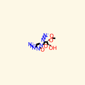 CC(=O)OC[C@H]1C(N=[N+]=[N-])[C@H](n2ccc(N=[N+]=[N-])nc2=O)O[C@@H]1CO